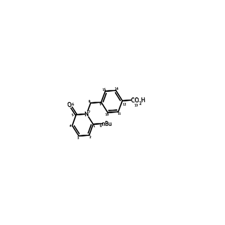 CCCCc1cccc(=O)n1Cc1ccc(C(=O)O)cc1